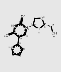 O=c1[nH]c(=O)n([C@@H]2CO[C@H](CO)O2)cc1-c1cccs1